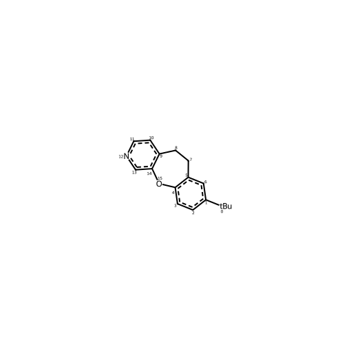 CC(C)(C)c1ccc2c(c1)CCc1ccncc1O2